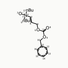 CCCC[N+]([O-])(C=CCOC(=O)OCc1ccccc1)CCCC